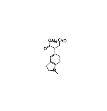 COC(=O)C(CC=O)c1ccc2c(c1)CCN2C